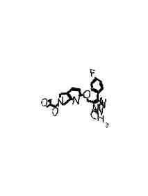 Cn1nnc(-c2ccc(F)cc2)c1COc1ccc2c(n1)CN(C(=O)C1COC1)C2